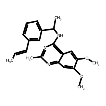 C/C=C/c1cccc(C(C)Nc2nc(C)nc3cc(OC)c(OC)cc23)c1